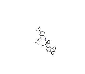 CC(C)COc1cc(N(C)C)ccc1/C=C/C(=O)Nc1ccc2c(c1)OCO2